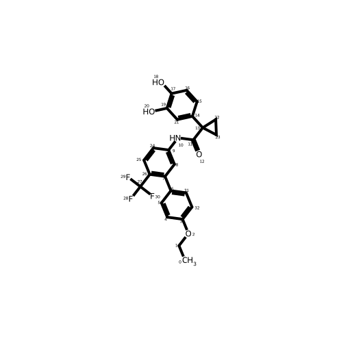 CCOc1ccc(-c2cc(NC(=O)C3(c4ccc(O)c(O)c4)CC3)ccc2C(F)(F)F)cc1